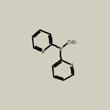 O=[C][N+](c1ccccn1)c1ccccn1